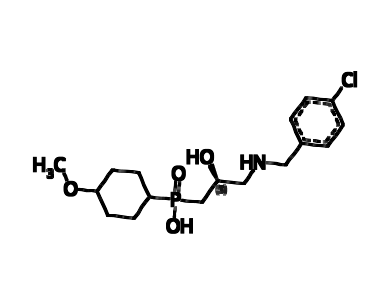 COC1CCC(P(=O)(O)C[C@@H](O)CNCc2ccc(Cl)cc2)CC1